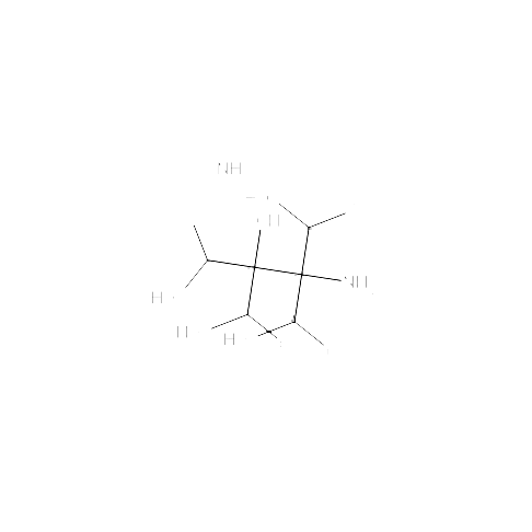 CC(C)C(C)(C(C)C)C(N)(C(C)C)C(C)C.N